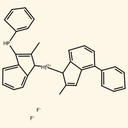 CC1=Cc2c(-c3ccccc3)cccc2[CH]1[Hf+2][CH]1C(C)=C(Pc2ccccc2)c2ccccc21.[F-].[F-]